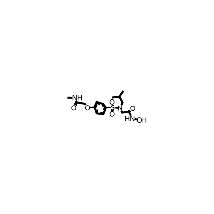 CNC(=O)COc1ccc(S(=O)(=O)N(CC(=O)NO)CC(C)C)cc1